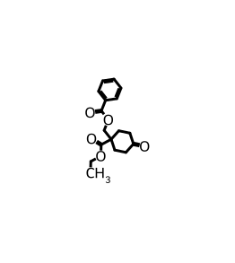 CCOC(=O)C1(COC(=O)c2ccccc2)CCC(=O)CC1